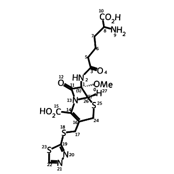 CO[C@@]1(NC(=O)CCCC(N)C(=O)O)C(=O)N2C(C(=O)O)=C(CSc3nncs3)CS[C@H]21